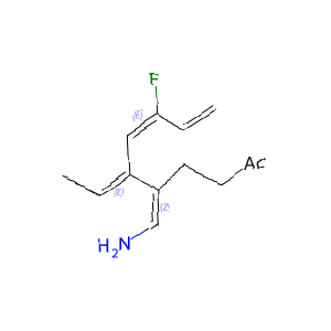 C=C\C(F)=C/C(=C\C)C(=C\N)/CCC(C)=O